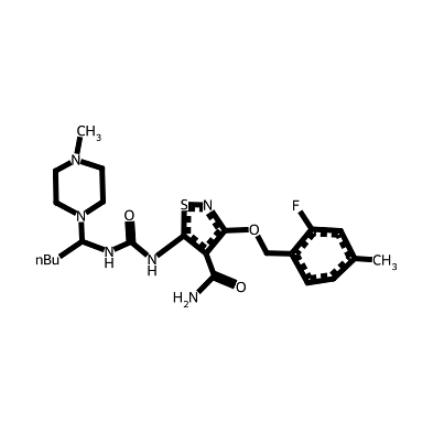 CCCCC(NC(=O)Nc1snc(OCc2ccc(C)cc2F)c1C(N)=O)N1CCN(C)CC1